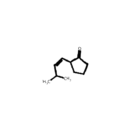 CC(C)/C=C\C1[CH]CCC1=O